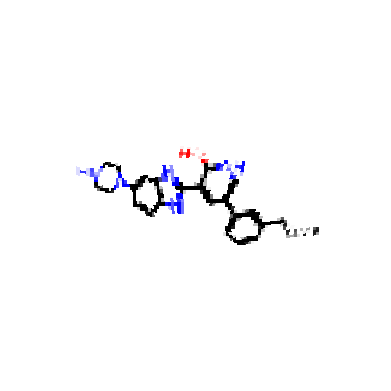 COCc1cccc(C2=CNC(O)C(c3nc4cc(N5CCNCC5)ccc4[nH]3)=C2)c1